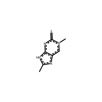 Cc1nc2cn(C)c(=S)nc2[nH]1